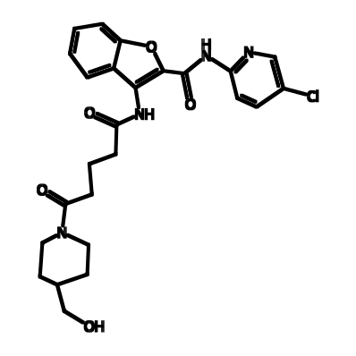 O=C(CCCC(=O)N1CCC(CO)CC1)Nc1c(C(=O)Nc2ccc(Cl)cn2)oc2ccccc12